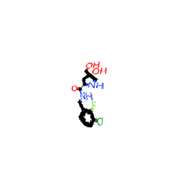 O=C(NCc1cccc(Cl)c1F)[C@@H]1C[C@@](O)(CO)CN1